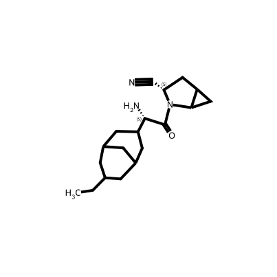 CCC1CC2CC(C1)CC([C@H](N)C(=O)N1C3CC3C[C@H]1C#N)C2